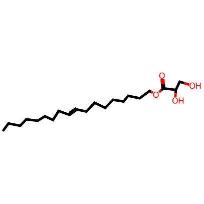 CCCCCCCCC=CCCCCCCCCOC(=O)C(O)CO